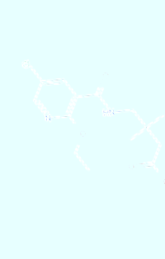 CCOc1ncc(Cl)cc1C(=O)NCC(C)(C)CC(=O)O